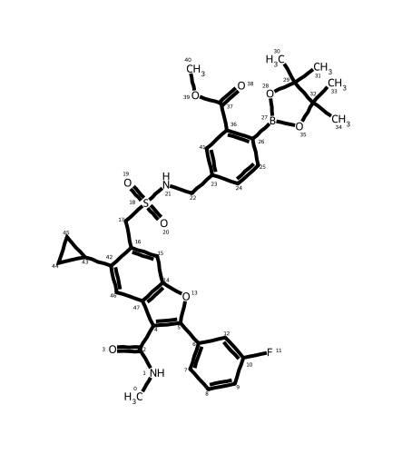 CNC(=O)c1c(-c2cccc(F)c2)oc2cc(CS(=O)(=O)NCc3ccc(B4OC(C)(C)C(C)(C)O4)c(C(=O)OC)c3)c(C3CC3)cc12